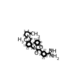 CC1CCCC(C)N1Cc1cccc(CN2C(=O)C(c3cccc(C(=N)N)c3)Oc3ccccc32)c1